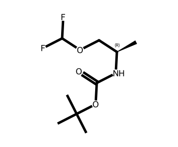 C[C@H](COC(F)F)NC(=O)OC(C)(C)C